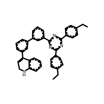 CCc1ccc(-c2nc(-c3ccc(CC)cc3)nc(-c3cccc(-c4cccc(C5=CCNc6ccccc65)c4)c3)n2)cc1